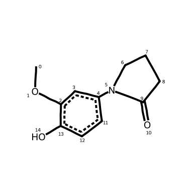 COc1cc(N2CCCC2=O)ccc1O